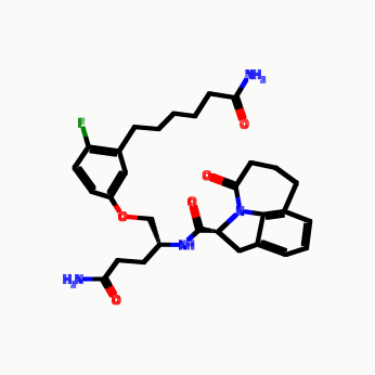 NC(=O)CCCCCc1cc(OC[C@H](CCC(N)=O)NC(=O)[C@@H]2Cc3cccc4c3N2C(=O)CCC4)ccc1F